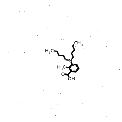 CCCCCN(CCCCC)c1cccc(C(=O)O)c1C